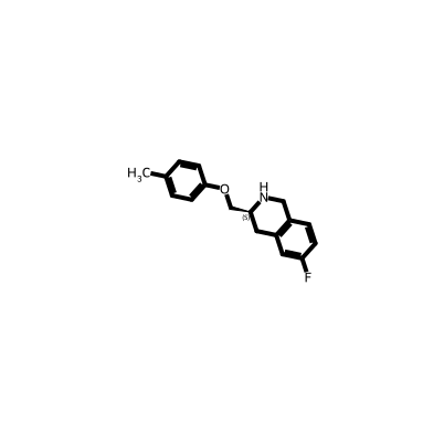 Cc1ccc(OC[C@@H]2Cc3cc(F)ccc3CN2)cc1